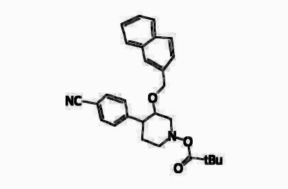 CC(C)(C)C(=O)ON1CCC(c2ccc(C#N)cc2)C(OCc2ccc3ccccc3c2)C1